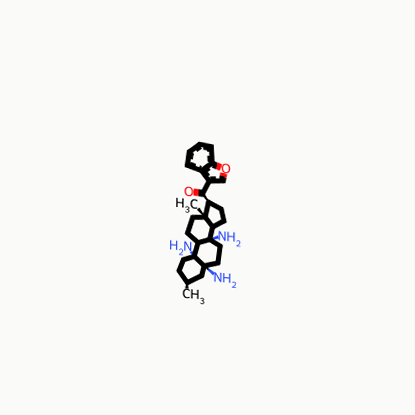 C[C@H]1CC[C@]2(N)C3CC[C@@]4(C)C(CC[C@@H]4C(=O)c4coc5ccccc45)[C@]3(N)CC[C@]2(N)C1